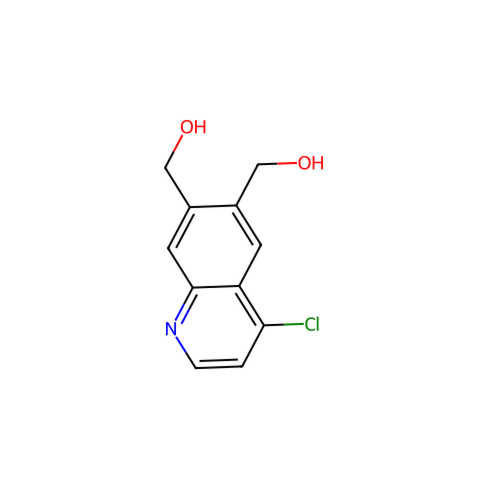 OCc1cc2nccc(Cl)c2cc1CO